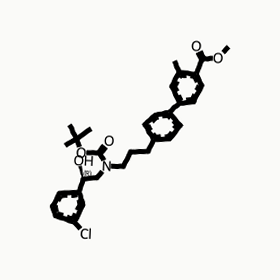 COC(=O)c1ccc(-c2ccc(CCCN(C[C@H](O)c3cccc(Cl)c3)C(=O)OC(C)(C)C)cc2)cc1C